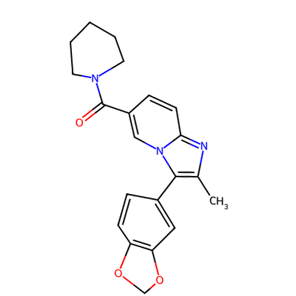 Cc1nc2ccc(C(=O)N3CCCCC3)cn2c1-c1ccc2c(c1)OCO2